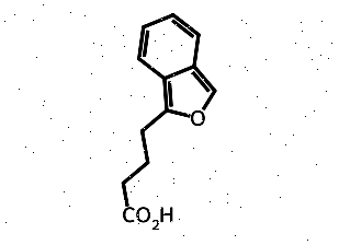 O=C(O)CCCc1occ2ccccc12